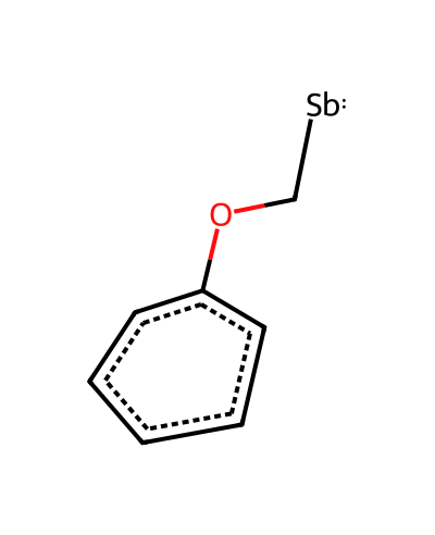 [Sb][CH2]Oc1ccccc1